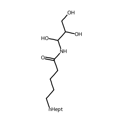 CCCCCCCCCCCC(=O)NC(O)C(O)CO